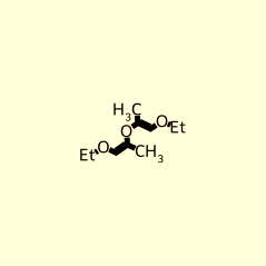 CCOC=C(C)OC(C)=COCC